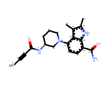 CCCC#CC(=O)N[C@H]1CCCN(c2ccc(C(N)=O)c3[nH]c(C)c(C)c23)C1